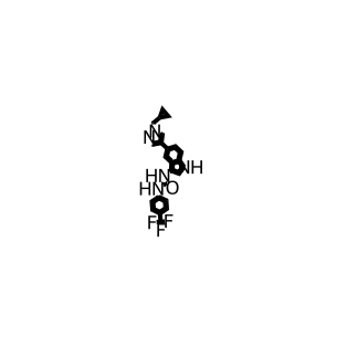 O=C(Nc1ccc(C(F)(F)F)cc1)Nc1c[nH]c2ccc(-c3cnn(CC4CC4)c3)cc12